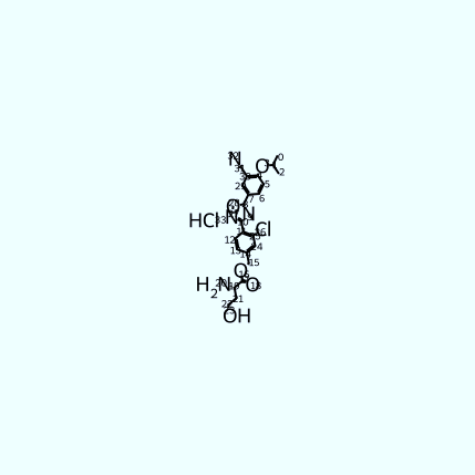 CC(C)Oc1ccc(-c2nc(-c3ccc(COC(=O)[C@@H](N)CCO)cc3Cl)no2)cc1C#N.Cl